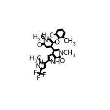 Cc1cccc(C)c1Oc1cn(C)c(=O)cc1-c1cn(C)c(=O)c2[nH]c(-c3cc(C(F)(F)F)nn3C)cc12